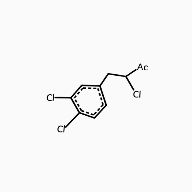 CC(=O)C(Cl)Cc1ccc(Cl)c(Cl)c1